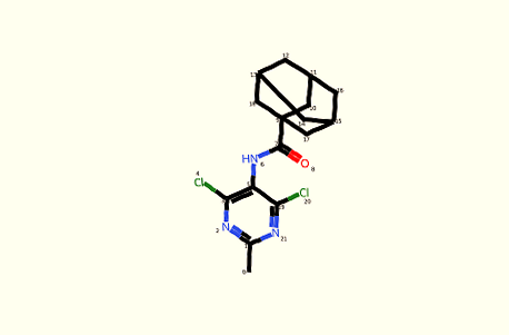 Cc1nc(Cl)c(NC(=O)C23CC4CC(CC(C4)C2)C3)c(Cl)n1